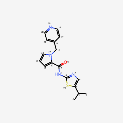 CC(C)c1cnc(NC(=O)c2cccn2Cc2ccncc2)s1